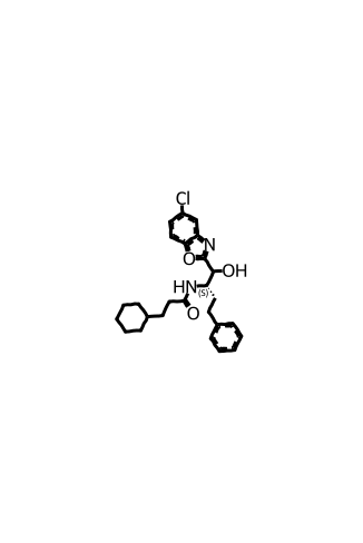 O=C(CCC1CCCCC1)N[C@@H](CCc1ccccc1)C(O)c1nc2cc(Cl)ccc2o1